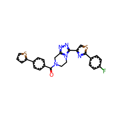 O=C(c1ccc(-c2cccs2)cc1)N1CCn2c(nnc2-c2csc(-c3ccc(F)cc3)n2)C1